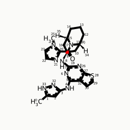 Cc1cc(Nc2nc(N[C@@H]3C[C@H]4CCC[C@@H](C3)N4C(=O)c3nccn3C)nc3sccc23)n[nH]1